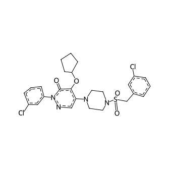 O=c1c(OC2CCCC2)c(N2CCN(S(=O)(=O)Cc3cccc(Cl)c3)CC2)cnn1-c1cccc(Cl)c1